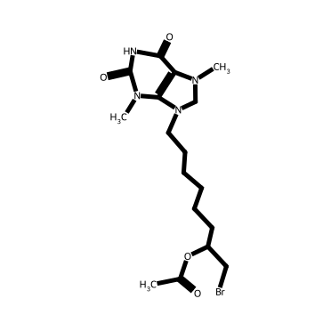 CC(=O)OC(CBr)CCCCCCN1CN(C)c2c1n(C)c(=O)[nH]c2=O